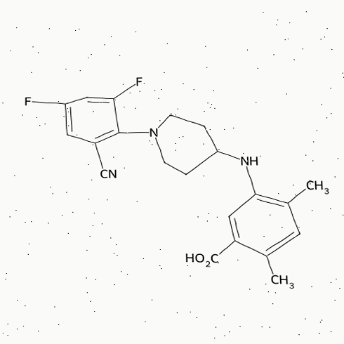 Cc1cc(C)c(C(=O)O)cc1NC1CCN(c2c(F)cc(F)cc2C#N)CC1